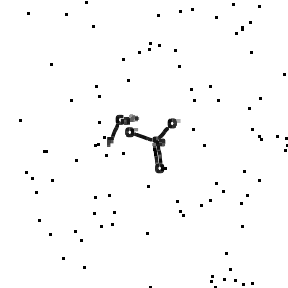 O=[Se]([O-])[O-].[F][Ga+2]